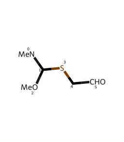 CNC(OC)SCC=O